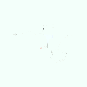 CCCOc1ccccc1C(=O)N[C@@H](CCS(=O)(=O)O)C(=O)OCC